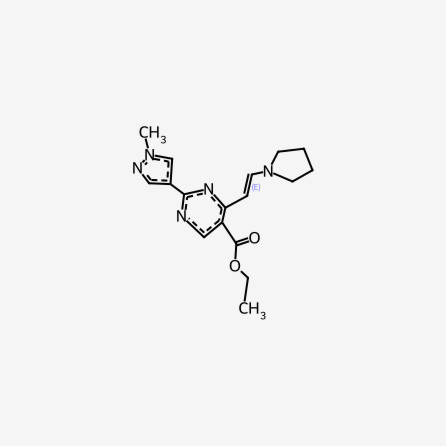 CCOC(=O)c1cnc(-c2cnn(C)c2)nc1/C=C/N1CCCC1